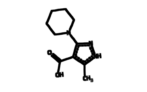 Cc1[nH]nc(N2CCCCC2)c1C(=O)O